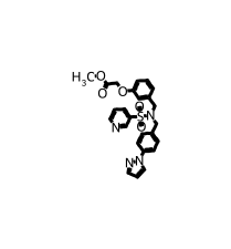 COC(=O)COc1cccc(CN(Cc2ccc(-n3cccn3)cc2)S(=O)(=O)c2cccnc2)c1